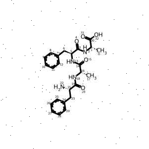 C[C@H](NC(=O)[C@H](Cc1ccccc1)NC(=O)[C@H](C)NC(=O)[C@@H](N)Cc1ccccc1)C(=O)O